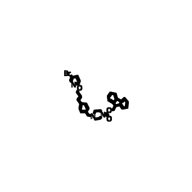 O=C(OCC1c2ccccc2-c2ccccc21)N1CCN(Cc2ccc(C=CCOc3ccc(Br)cn3)cc2)CC1